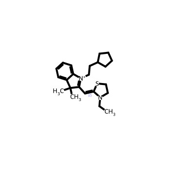 CCN1CCS/C1=C\C1=[N+](CCC2CCCC2)c2ccccc2C1(C)C